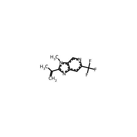 C=C(C)c1nc2cc(C(F)(F)F)ncc2n1C